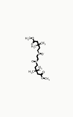 COC(=O)CC(C)(C)CC[S+]([O-])CC[S+]([O-])CCC(C)(C)CC(=O)OC